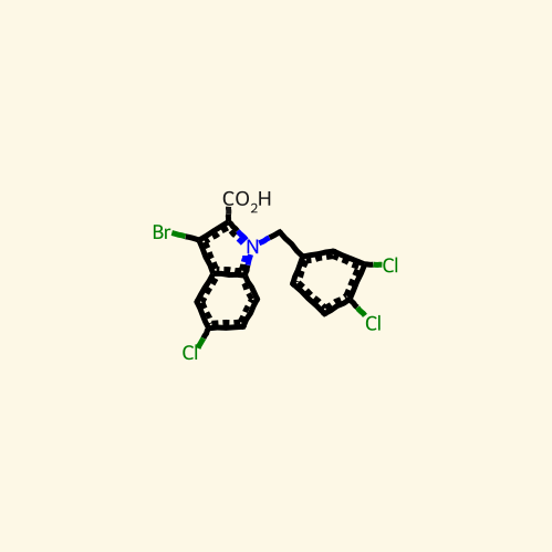 O=C(O)c1c(Br)c2cc(Cl)ccc2n1Cc1ccc(Cl)c(Cl)c1